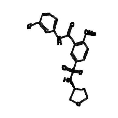 COc1ccc(S(=O)(=O)N[C@H]2CCOC2)cc1C(=O)Nc1cccc(Cl)c1